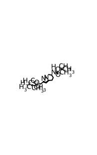 CC(C)(C)OC(=O)N[C@H]1CCc2cc(CO[Si](C)(C)C(C)(C)C)nn2C1